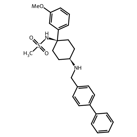 COc1cccc([C@]2(NS(C)(=O)=O)CC[C@@H](NCc3ccc(-c4ccccc4)cc3)CC2)c1